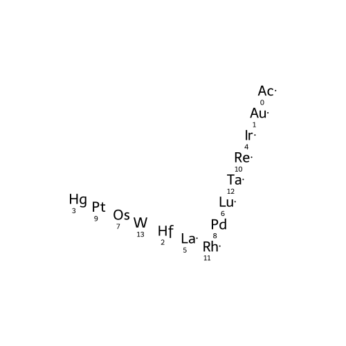 [Ac].[Au].[Hf].[Hg].[Ir].[La].[Lu].[Os].[Pd].[Pt].[Re].[Rh].[Ta].[W]